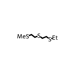 CCSCCSCCSC